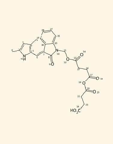 Cc1cc(C)c(C=C2C(=O)N(COC(=O)CCC(=O)OC(=O)CCC(=O)O)c3ccccc32)[nH]1